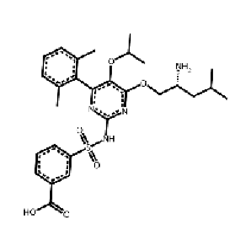 Cc1cccc(C)c1-c1nc(NS(=O)(=O)c2cccc(C(=O)O)c2)nc(OC[C@H](N)CC(C)C)c1OC(C)C